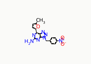 Cc1ccc(-c2nc(N)nc3c2nnn3Cc2ccc([N+](=O)[O-])cc2)o1